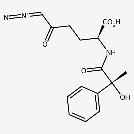 C[C@](O)(C(=O)N[C@@H](CCC(=O)C=[N+]=[N-])C(=O)O)c1ccccc1